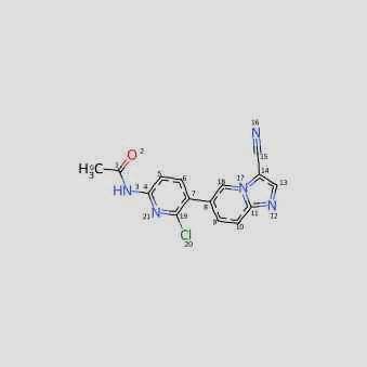 CC(=O)Nc1ccc(-c2ccc3ncc(C#N)n3c2)c(Cl)n1